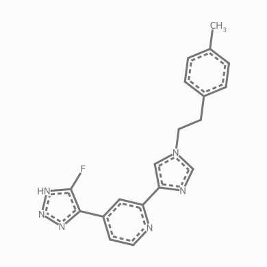 Cc1ccc(CCn2cnc(-c3cc(-c4nn[nH]c4F)ccn3)c2)cc1